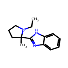 CCN1CCCC1(C)c1nc2ccccc2[nH]1